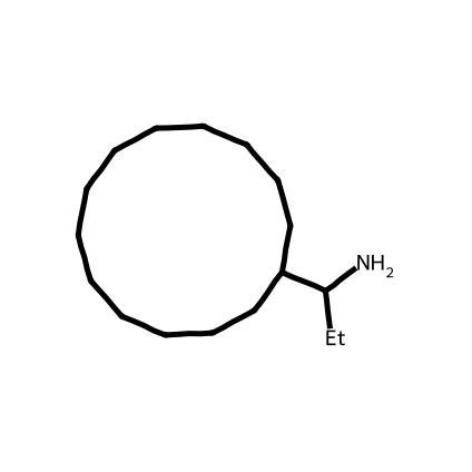 CCC(N)C1CCCCCCCCCCCCC1